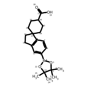 CC1(C)OB(c2ccc3c(c2)CCC32CCC(C(=O)O)CC2)OC1(C)C